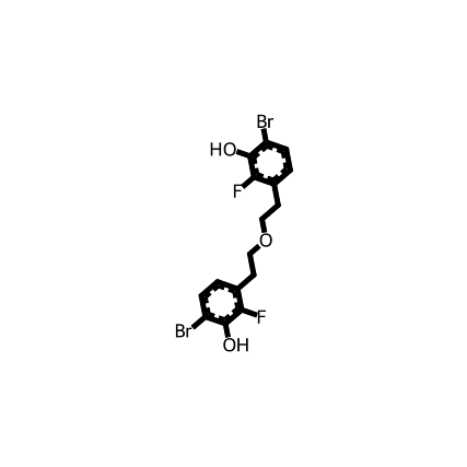 Oc1c(Br)ccc(CCOCCc2ccc(Br)c(O)c2F)c1F